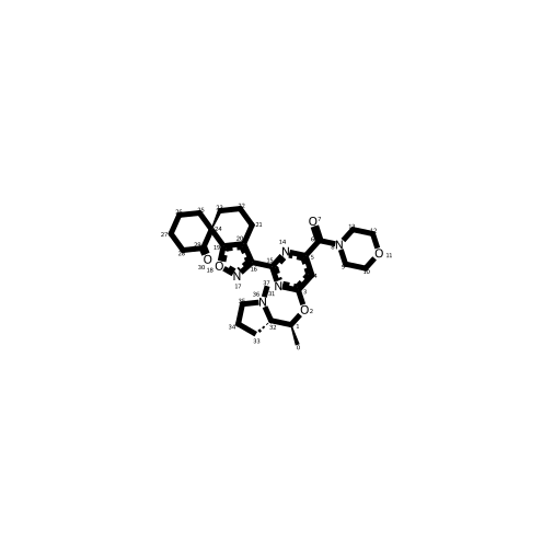 C[C@H](Oc1cc(C(=O)N2CCOCC2)nc(-c2noc3c2CCC[C@@]32CCCCC2=O)n1)[C@@H]1CCCN1C